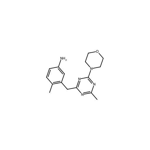 Cc1nc(Cc2cc(N)ccc2C)nc(N2CCOCC2)n1